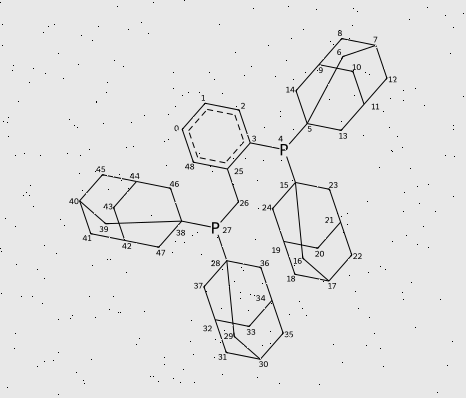 c1ccc(P(C23CC4CC(CC(C4)C2)C3)C23CC4CC(CC(C4)C2)C3)c(CP(C23CC4CC(CC(C4)C2)C3)C23CC4CC(CC(C4)C2)C3)c1